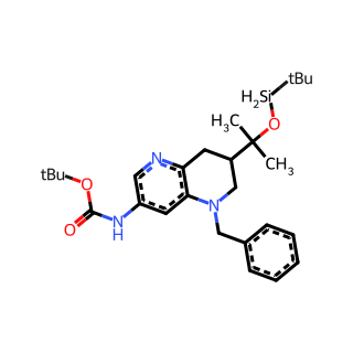 CC(C)(C)OC(=O)Nc1cnc2c(c1)N(Cc1ccccc1)CC(C(C)(C)O[SiH2]C(C)(C)C)C2